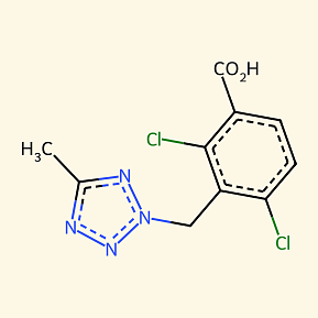 Cc1nnn(Cc2c(Cl)ccc(C(=O)O)c2Cl)n1